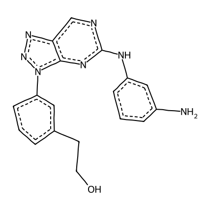 Nc1cccc(Nc2ncc3nnn(-c4cccc(CCO)c4)c3n2)c1